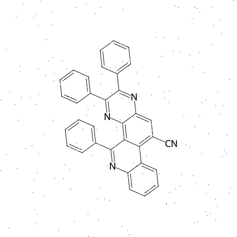 N#Cc1cc2nc(-c3ccccc3)c(-c3ccccc3)nc2c2c(-c3ccccc3)nc3ccccc3c12